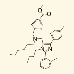 CCCCCCN(Cc1ccc(C(=O)OC)cc1)Cc1c(-c2ccc(C)cc2)nc(-c2ccccc2C)n1CCCC